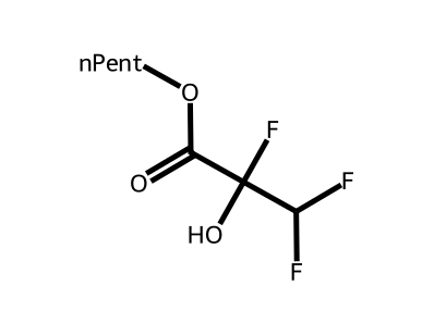 CCCCCOC(=O)C(O)(F)C(F)F